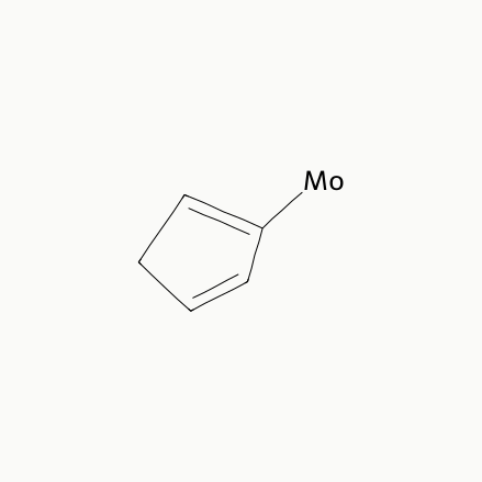 [Mo][C]1=CCC=C1